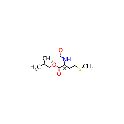 CSCC[C@H](NC=O)C(=O)OCC(C)C